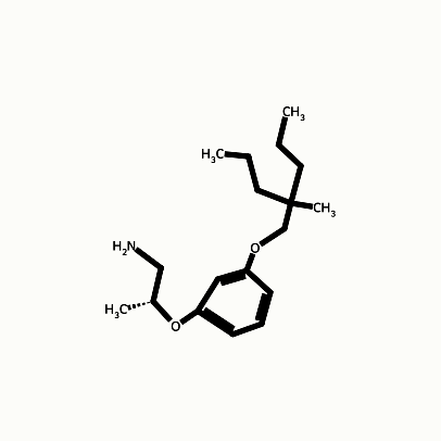 CCCC(C)(CCC)COc1cccc(O[C@H](C)CN)c1